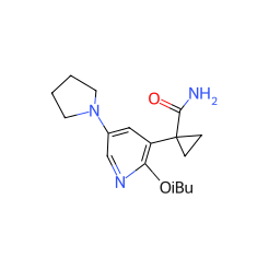 CC(C)COc1ncc(N2CCCC2)cc1C1(C(N)=O)CC1